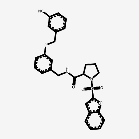 N#Cc1cccc(COc2cccc(CNC(=O)C3CCCN3S(=O)(=O)c3cc4ccccc4o3)c2)c1